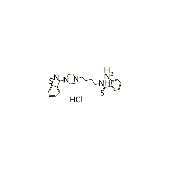 Cl.Nc1ccccc1C(=S)NCCCCN1CCN(c2nsc3ccccc23)CC1